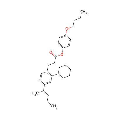 CCCCOc1ccc(OC(=O)CCc2ccc(C(C)CCC)cc2C2CCCCC2)cc1